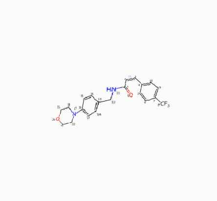 O=C(/C=C\c1ccc(C(F)(F)F)cc1)NCc1ccc(N2CCOCC2)cc1